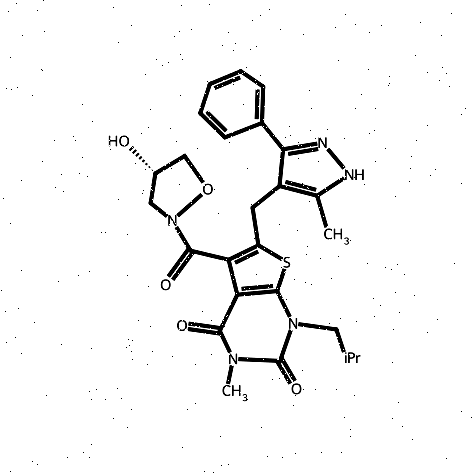 Cc1[nH]nc(-c2ccccc2)c1Cc1sc2c(c1C(=O)N1C[C@H](O)CO1)c(=O)n(C)c(=O)n2CC(C)C